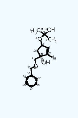 CC(C)(O)OC1C=C(I)[C@@](O)(COCc2ccccc2)C1